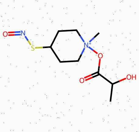 CC(O)C(=O)O[N+]1(C)CCC(SN=O)CC1